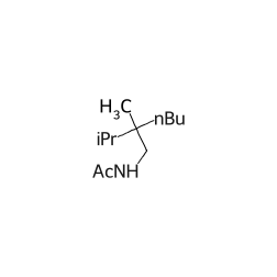 CCCCC(C)(CNC(C)=O)C(C)C